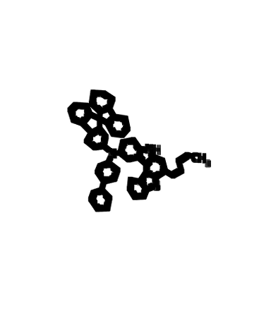 C/C=C\C=C/c1cc2[nH]c3ccc(N(c4ccc(-c5ccccc5)cc4)c4ccc5c(c4)C4(c6ccccc6-c6ccccc64)c4ccccc4-5)cc3c2c2c1sc1ccccc12